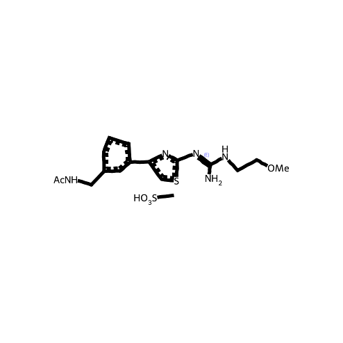 COCCN/C(N)=N/c1nc(-c2cccc(CNC(C)=O)c2)cs1.CS(=O)(=O)O